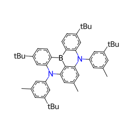 Cc1cc(N2c3cc(C(C)(C)C)ccc3B3c4ccc(C(C)(C)C)cc4N(c4cc(C)cc(C(C)(C)C)c4)c4cc(C)cc2c43)cc(C(C)(C)C)c1